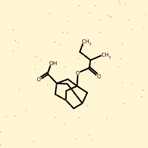 CCC(C)C(=O)OC12CC3CC(C1)CC(C(=O)O)(C3)C2